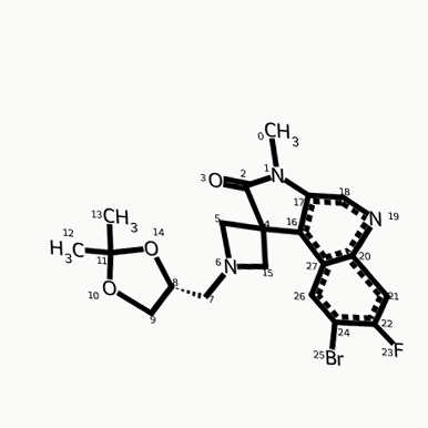 CN1C(=O)C2(CN(C[C@@H]3COC(C)(C)O3)C2)c2c1cnc1cc(F)c(Br)cc21